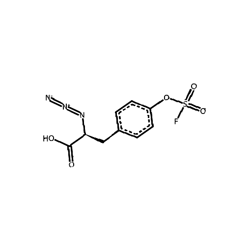 [N-]=[N+]=N[C@@H](Cc1ccc(OS(=O)(=O)F)cc1)C(=O)O